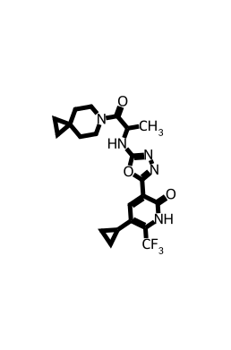 CC(Nc1nnc(-c2cc(C3CC3)c(C(F)(F)F)[nH]c2=O)o1)C(=O)N1CCC2(CC1)CC2